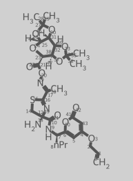 C=CCOc1cc([C@@H](CCC)NC(=O)[C@]2(N)CSC(/C(C)=N/OC(=O)[C@H]3O[C@@H]4OC(C)(C)O[C@@H]4[C@H]4OC(C)(C)O[C@H]43)=N2)oc(=O)c1